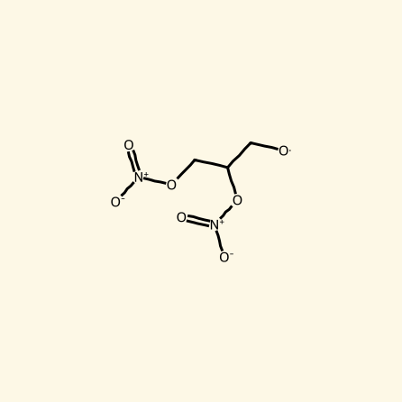 [O]CC(CO[N+](=O)[O-])O[N+](=O)[O-]